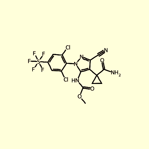 COC(=O)Nc1c(C2(C(N)=O)CC2)c(C#N)nn1-c1c(Cl)cc(S(F)(F)(F)(F)F)cc1Cl